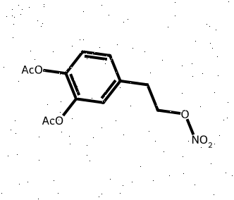 CC(=O)Oc1ccc(CCO[N+](=O)[O-])cc1OC(C)=O